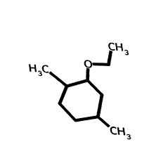 CCOC1CC(C)CCC1C